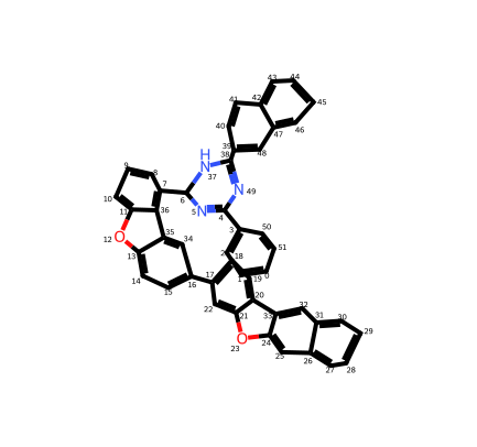 c1ccc(C2=NC(c3cccc4oc5ccc(-c6ccc7c(c6)oc6cc8ccccc8cc67)cc5c34)NC(c3ccc4ccccc4c3)=N2)cc1